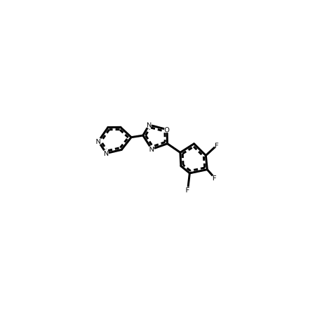 Fc1cc(-c2nc(-c3ccnnc3)no2)cc(F)c1F